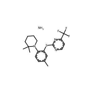 Cc1ccc(N2CCCCC2(C)C)c(Sc2nccc(C(F)(F)F)n2)c1.N